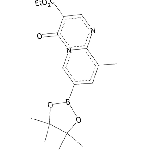 CCOC(=O)c1cnc2c(C)cc(B3OC(C)(C)C(C)(C)O3)cn2c1=O